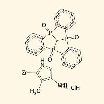 Cc1c[nH][c]([Zr])c1C.Cl.Cl.O=P(c1ccccc1)(c1ccccc1)C(P(=O)(c1ccccc1)c1ccccc1)P(=O)(c1ccccc1)c1ccccc1